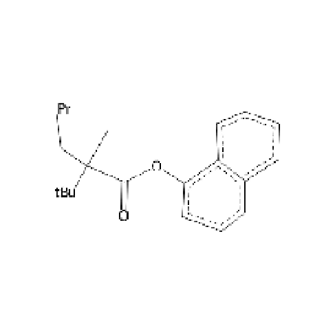 CC(C)CC(C)(C(=O)Oc1cccc2ccccc12)C(C)(C)C